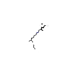 CCCCSCC(CC)[C@H](O)CCC/C=C/Cc1c[nH]c2c(N)ncnc12